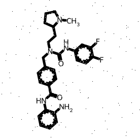 CN1CCCC1CCN(Cc1ccc(C(=O)Nc2ccccc2N)cc1)C(=O)Nc1ccc(F)c(F)c1